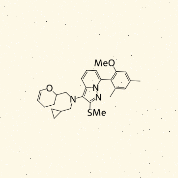 COc1cc(C)cc(C)c1-c1cccc2c(N(CC3CC3)CC3CCC=CO3)c(SC)nn12